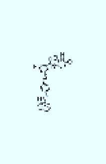 O=C1CCC(N2Cc3c(SCc4ccc(CNC56CC7CC(CC(C7)C5)C6)cc4)cc(F)cc3C2=O)C(=O)N1